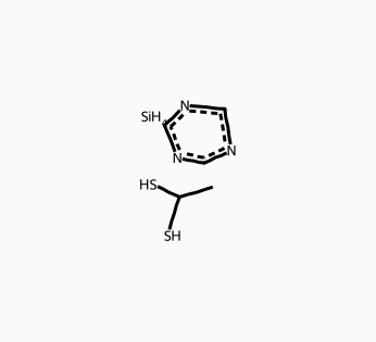 CC(S)S.[SiH4].c1ncncn1